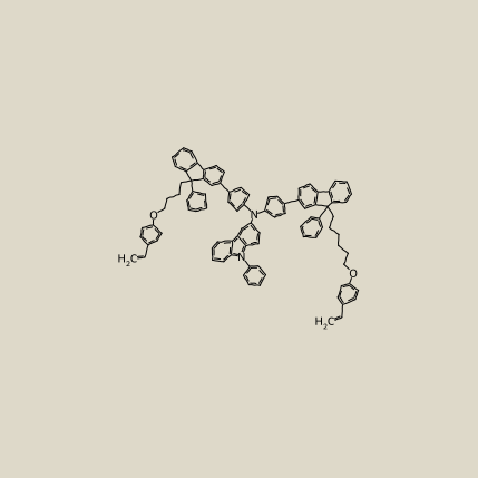 C=Cc1ccc(OCCCCCCC2(c3ccccc3)c3ccccc3-c3ccc(-c4ccc(N(c5ccc(-c6ccc7c(c6)C(CCCCOc6ccc(C=C)cc6)(c6ccccc6)c6ccccc6-7)cc5)c5ccc6c(c5)c5ccccc5n6-c5ccccc5)cc4)cc32)cc1